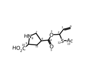 C=CC(OC(=O)C1CNC(C(=O)O)C1)SC(C)=O